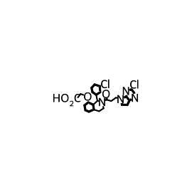 O=C(O)COc1ccc(Cl)cc1C1c2ccccc2CCN1C(=O)CCn1ccc2ncc(Cl)nc21